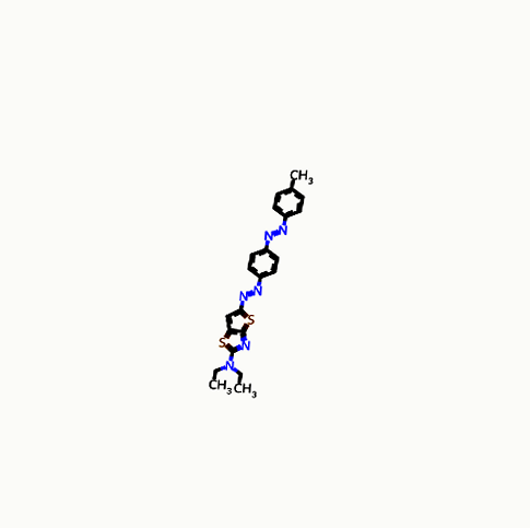 CCN(CC)c1nc2sc(N=Nc3ccc(N=Nc4ccc(C)cc4)cc3)cc2s1